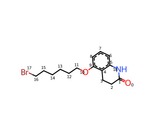 O=C1CCc2c(cccc2OCCCCCCBr)N1